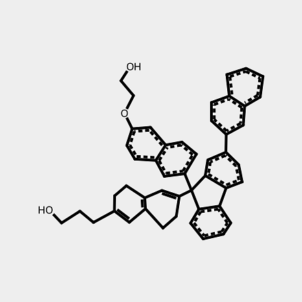 OCCCC1=CC2=C(C=C(C3(c4ccc5cc(OCCO)ccc5c4)c4ccccc4-c4ccc(-c5ccc6ccccc6c5)cc43)CC2)CC1